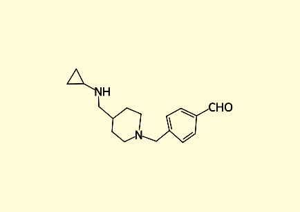 O=Cc1ccc(CN2CCC(CNC3CC3)CC2)cc1